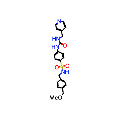 COCc1ccc(CNS(=O)(=O)c2ccc(NC(=O)NCc3ccncc3)cc2)cc1